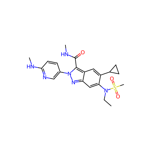 CCN(c1cc2nn(-c3ccc(NC)nc3)c(C(=O)NC)c2cc1C1CC1)S(C)(=O)=O